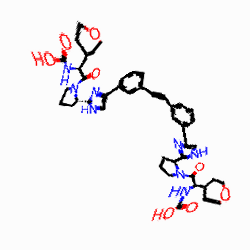 O=C(O)NC(C(=O)N1CCCC1c1nc(-c2cccc(C#Cc3cccc(-c4c[nH]c([C@@H]5CCCN5C(=O)[C@@H](NC(=O)O)C5CCOCC5)n4)c3)c2)c[nH]1)C1CCOCC1